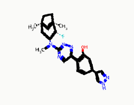 CN(c1ncc(-c2ccc(-c3cn[nH]c3)cc2O)nn1)[C@@H]1C[C@@]2(C)CC[C@](C)(C2)[C@@H]1F